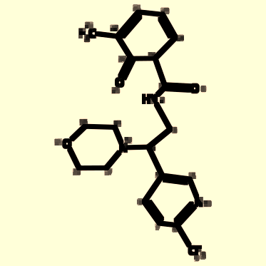 O=C(NCC(c1ccc(C(F)(F)F)nc1)N1CCOCC1)C1C=CC=C(C(F)(F)F)C1=O